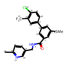 CSc1cc(C(=O)NCc2ccc(C)nc2)cc(-c2ccc(Cl)c(C(F)(F)F)c2)c1